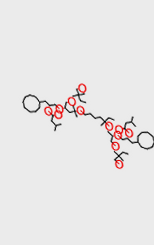 CCC1(COCC(COC(C)(CC)CCCCOC(C)(C)CC(COCC2(CC)COC2)OCC(CC2CCCCCCCC2)OC(=O)CC(C)C)OCC(CC2CCCCCCCC2)OC(=O)CC(C)C)COC1